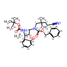 CC(C)(CCC#N)CN(CC[C@](C)(NC(=O)OC(C)(C)C)c1ccccc1O)C(=O)OCc1ccccc1